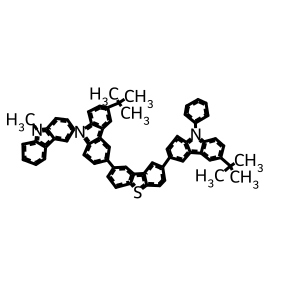 Cn1c2ccccc2c2cc(-n3c4ccc(-c5ccc6sc7ccc(-c8ccc9c(c8)c8cc(C(C)(C)C)ccc8n9-c8ccccc8)cc7c6c5)cc4c4cc(C(C)(C)C)ccc43)ccc21